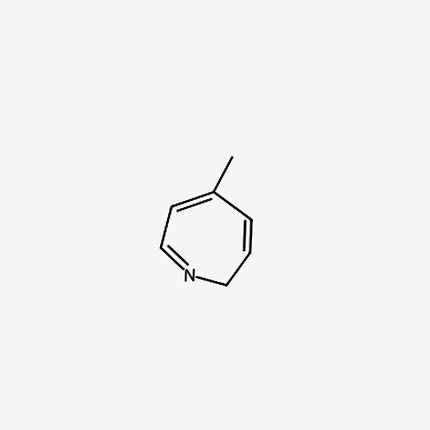 CC1=CC=NCC=C1